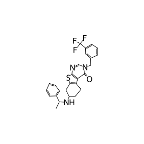 CC(NC1CCc2c(sc3ncn(Cc4cccc(C(F)(F)F)c4)c(=O)c23)C1)c1ccccc1